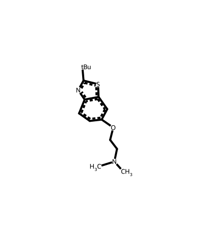 CN(C)CCOc1ccc2nc(C(C)(C)C)sc2c1